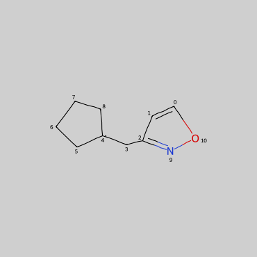 c1cc(C[C]2CCCC2)no1